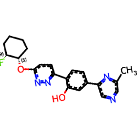 Cc1cncc(-c2ccc(-c3ccc(O[C@H]4CCCC[C@H]4F)nn3)c(O)c2)n1